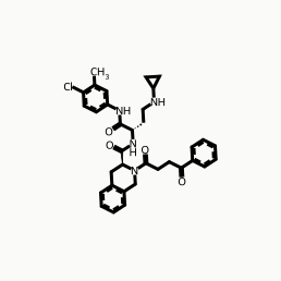 Cc1cc(NC(=O)[C@H](CCNC2CC2)NC(=O)[C@@H]2Cc3ccccc3CN2C(=O)CCC(=O)c2ccccc2)ccc1Cl